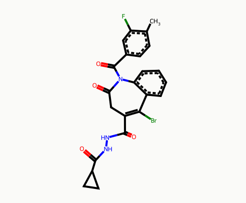 Cc1ccc(C(=O)N2C(=O)CC(C(=O)NNC(=O)C3CC3)=C(Br)c3ccccc32)cc1F